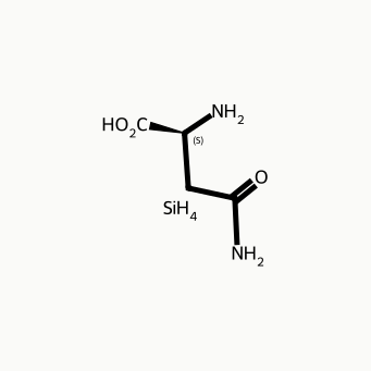 NC(=O)C[C@H](N)C(=O)O.[SiH4]